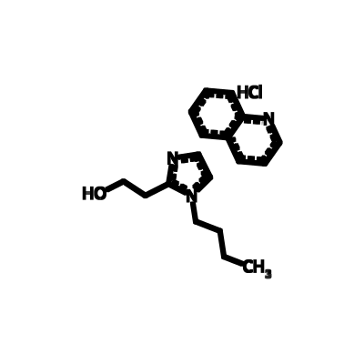 CCCCn1ccnc1CCO.Cl.c1ccc2ncccc2c1